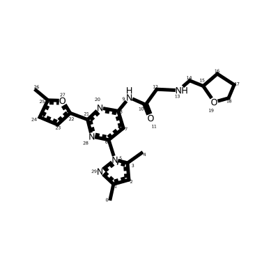 Cc1cc(C)n(-c2cc(NC(=O)CNCC3CCCO3)nc(-c3ccc(C)o3)n2)n1